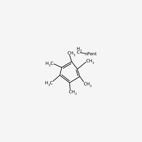 CCCCCC.Cc1c(C)c(C)c(C)c(C)c1C